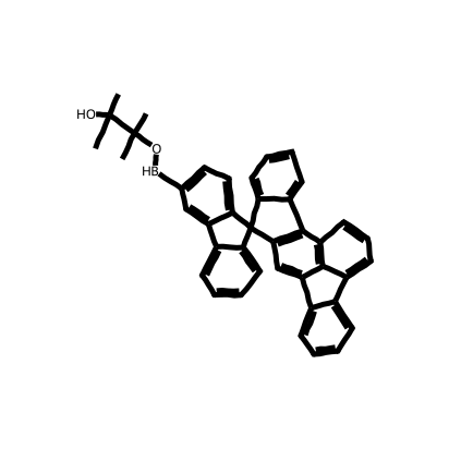 CC(C)(O)C(C)(C)OBc1ccc2c(c1)-c1ccccc1C21c2ccccc2-c2c1cc1c3c(cccc23)-c2ccccc2-1